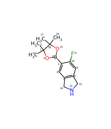 CC1(C)OB(c2cc3c(cc2F)CNC3)OC1(C)C